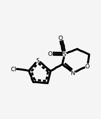 O=S1(=O)CCON=C1c1ccc(Cl)s1